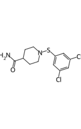 NC(=O)C1CCN(Sc2cc(Cl)cc(Cl)c2)CC1